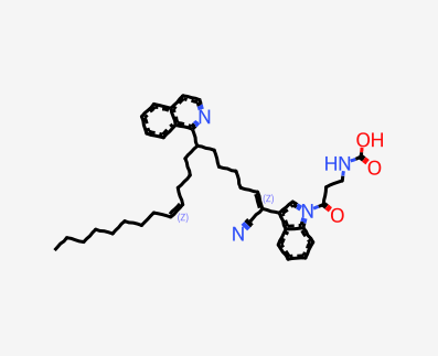 CCCCCCCC/C=C\CCCC(CCCC/C=C(\C#N)c1cn(C(=O)CCNC(=O)O)c2ccccc12)c1nccc2ccccc12